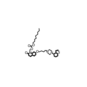 CCCCCCCCCOC(=O)OCn1c(=O)ccc2ccc(OCCCCN3CCN(c4cccc5sccc45)CC3)cc21